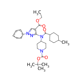 CCOC(=O)c1cn(-c2ccccc2)nc1N(C(=O)C1CCC(C)CC1)C1CCN(C(=O)OC(C)(C)C)CC1